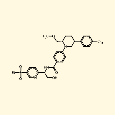 CCS(=O)(=O)c1ccc([C@H](CO)NC(=O)c2ccc(N3CC(c4ccc(C(F)(F)F)cc4)CC[C@H]3COC(F)(F)F)cc2)nc1